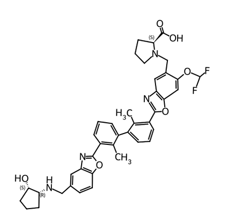 Cc1c(-c2nc3cc(CN[C@@H]4CCC[C@@H]4O)ccc3o2)cccc1-c1cccc(-c2nc3cc(CN4CCC[C@H]4C(=O)O)c(OC(F)F)cc3o2)c1C